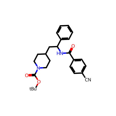 CC(C)(C)OC(=O)N1CCC(CC(NC(=O)c2ccc(C#N)cc2)c2ccccc2)CC1